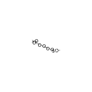 Cc1ccc(SOCCOCCOCCOCCC(=O)OC(C)(C)C)cc1